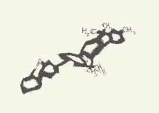 Cc1ccc2c(c1)C(C)(C)c1cc3c(cc1-2)C(C)(C)c1cc(-c2ccc4c(c2)oc2ccccc24)ccc1-3